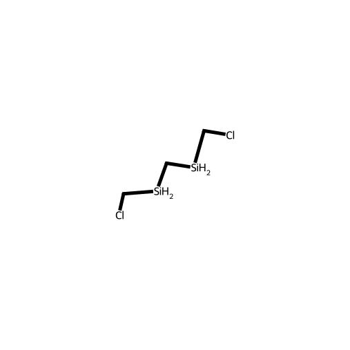 ClC[SiH2]C[SiH2]CCl